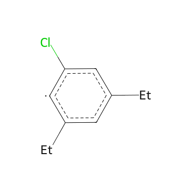 CCc1[c]c(Cl)cc(CC)c1